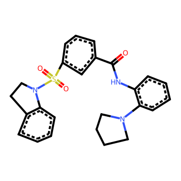 O=C(Nc1ccccc1N1CCCC1)c1cccc(S(=O)(=O)N2CCc3ccccc32)c1